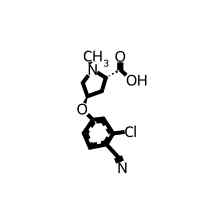 CN1C[C@H](Oc2ccc(C#N)c(Cl)c2)C[C@H]1C(=O)O